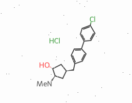 CN[C@@H]1C[C@H](Cc2ccc(-c3ccc(Cl)cc3)cc2)C[C@H]1O.Cl